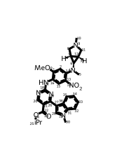 COc1cc(N(C)[C@H]2[C@@H]3CN(C)C[C@@H]32)c([N+](=O)[O-])cc1Nc1ncc(C(=O)OC(C)C)c(-c2cn(C)c3ccccc23)n1